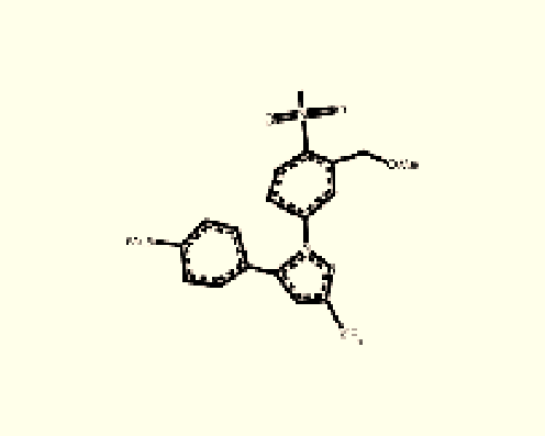 COCc1cc(-n2nc(C(F)(F)F)cc2-c2ccc(SC)cc2)ccc1S(C)(=O)=O